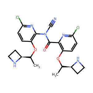 CC(Oc1ccc(Cl)nc1C(=O)N(C#N)c1nc(Cl)ccc1OC(C)[C@@H]1CCN1)[C@@H]1CCN1